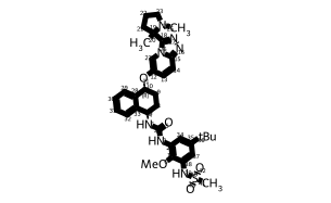 COc1c(NC(=O)N[C@H]2CC[C@@H](Oc3ccc4nnc(C5(C)CCCN5C)n4c3)c3ccccc32)cc(C(C)(C)C)cc1NS(C)(=O)=O